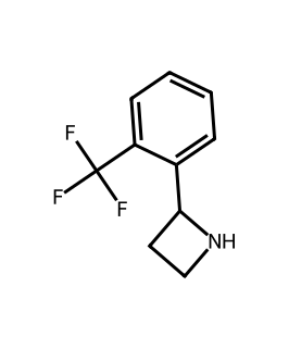 FC(F)(F)c1ccccc1C1CCN1